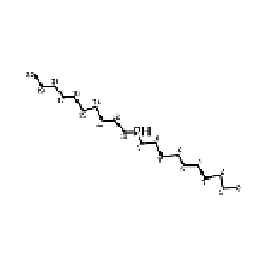 CCCCCCCCCCPCCCCCCCCCC